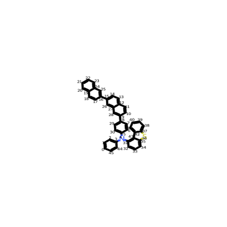 c1ccc(N(c2ccc(-c3ccc4ccc(-c5ccc6ccccc6c5)cc4c3)cc2)c2cccc3sc4ccccc4c23)cc1